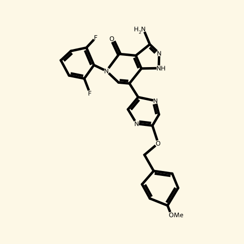 COc1ccc(COc2cnc(-c3cn(-c4c(F)cccc4F)c(=O)c4c(N)n[nH]c34)cn2)cc1